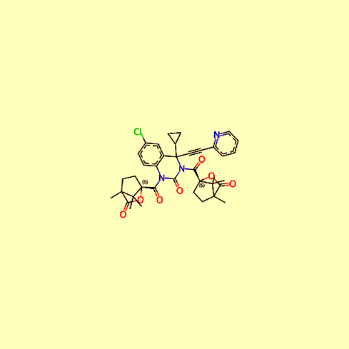 CC12CC[C@](C(=O)N3C(=O)N(C(=O)[C@@]45CCC(C)(C(=O)O4)C5(C)C)C(C#Cc4ccccn4)(C4CC4)c4cc(Cl)ccc43)(OC1=O)C2(C)C